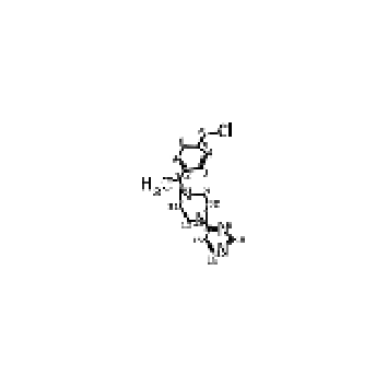 CC(c1ccc(CCl)cc1)N1CCN(c2ccncn2)CC1